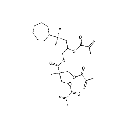 C=C(C)C(=O)OCC(C)(COC(=O)C(=C)C)C(=O)OCC(CC(F)(F)C1CCCCCC1)OC(=O)C(=C)C